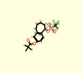 CC(C)(C)C(=O)Oc1ccc2c(c1)CCCCC2OS(=O)(=O)C(F)(F)F